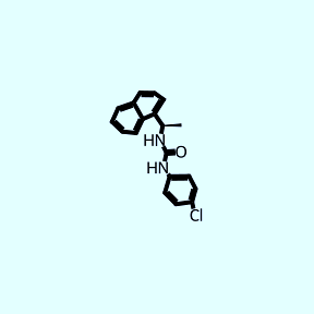 C[C@@H](NC(=O)Nc1ccc(Cl)cc1)c1cccc2ccccc12